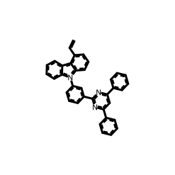 C=Cc1cccc2c1c1ccccc1n2-c1cccc(-c2nc(-c3ccccc3)cc(-c3ccccc3)n2)c1